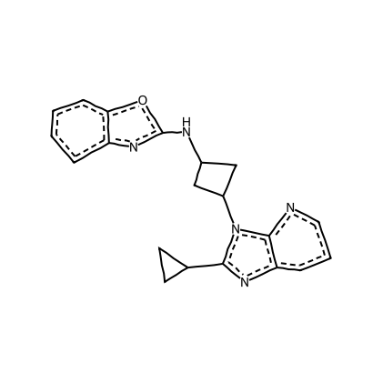 c1ccc2oc(NC3CC(n4c(C5CC5)nc5cccnc54)C3)nc2c1